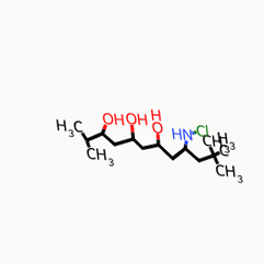 CC(C)C(O)CC(O)CC(O)CC(CC(C)(C)C)NCl